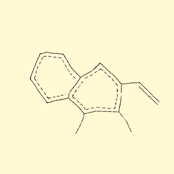 C=Cc1cc2ccccc2c(C)c1C